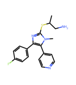 CC(CN)Sc1nc(-c2ccc(F)cc2)c(-c2ccncc2)n1C